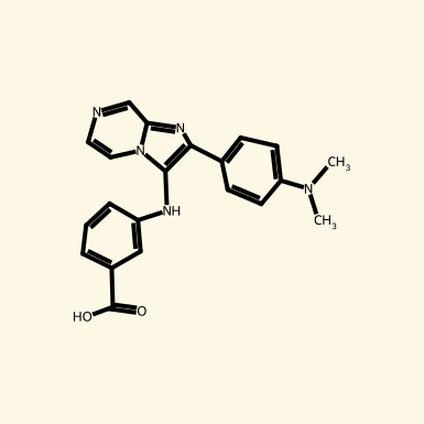 CN(C)c1ccc(-c2nc3cnccn3c2Nc2cccc(C(=O)O)c2)cc1